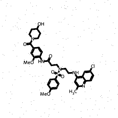 COc1ccc(S(=O)(=O)N(CCNc2cc(C)nc3ccc(Cl)cc23)CCC(=O)Nc2ccc(C(=O)N3CCC(O)CC3)cc2OC)cc1